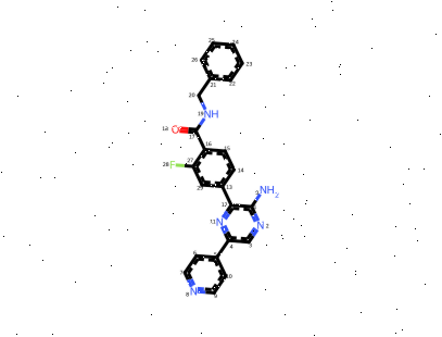 Nc1ncc(-c2ccncc2)nc1-c1ccc(C(=O)NCc2ccccc2)c(F)c1